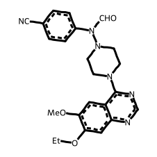 CCOc1cc2ncnc(N3CCN(N(C=O)c4ccc(C#N)cc4)CC3)c2cc1OC